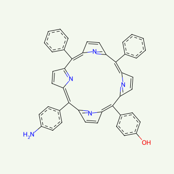 Nc1ccc(C2=C3C=CC(=N3)C(c3ccccc3)=C3C=CC(=N3)C(c3ccccc3)=C3C=CC(=N3)C(c3ccc(O)cc3)=C3C=CC2=N3)cc1